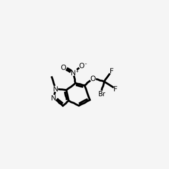 Cn1ncc2ccc(OC(F)(F)Br)c([N+](=O)[O-])c21